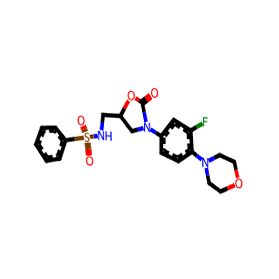 O=C1OC(CNS(=O)(=O)c2ccccc2)CN1c1ccc(N2CCOCC2)c(F)c1